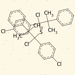 CC(C)(c1ccccc1)C(Cl)(SC(Cl)(c1ccc(Cl)cc1)C(C)(C)c1ccccc1)c1ccc(Cl)cc1